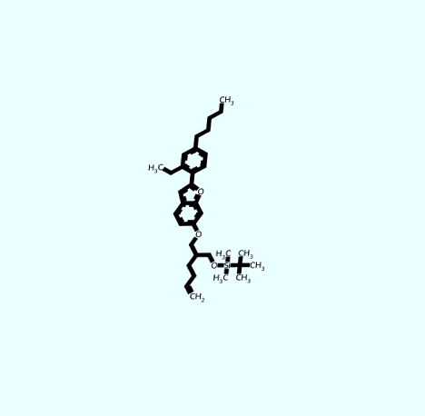 C=CCCC(COc1ccc2cc(-c3ccc(CCCCC)cc3CC)oc2c1)CO[Si](C)(C)C(C)(C)C